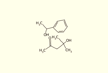 CC(=O)CC(C)(C)O.CC(O)c1ccccc1